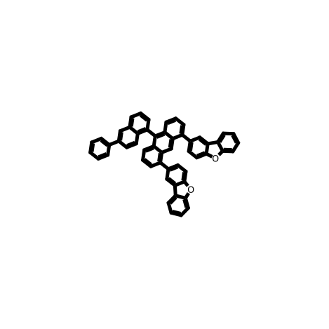 c1ccc(-c2ccc3c(-c4c5cccc(-c6ccc7oc8ccccc8c7c6)c5cc5c(-c6ccc7oc8ccccc8c7c6)cccc45)cccc3c2)cc1